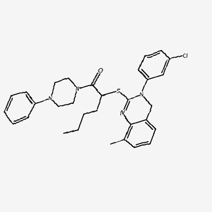 CCCCC(SC1=Nc2c(C)cccc2CN1c1cccc(Cl)c1)C(=O)N1CCN(c2ccccc2)CC1